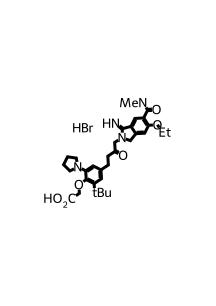 Br.CCOc1cc2c(cc1C(=O)NC)C(=N)N(CC(=O)CCc1cc(N3CCCC3)c(OCC(=O)O)c(C(C)(C)C)c1)C2